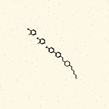 CCCCCCCC1CCC(CCc2ccc(-c3ccc(C(=O)Oc4ccc(C(=O)Oc5ccc(C#N)c(Cl)c5)c(Cl)c4)cc3)cc2)CC1